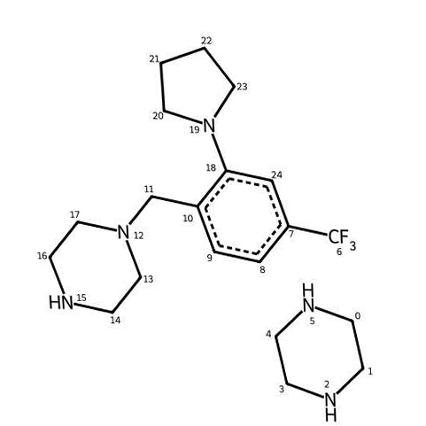 C1CNCCN1.FC(F)(F)c1ccc(CN2CCNCC2)c(N2CCCC2)c1